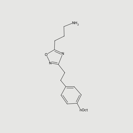 CCCCCCCCc1ccc(CCc2noc(CCCN)n2)cc1